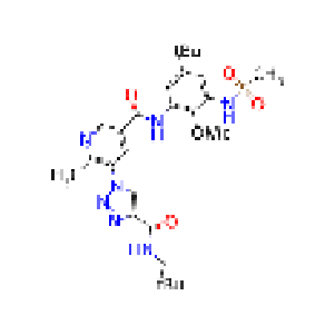 COc1c(NC(=O)c2cnc(C)c(-n3cc(C(=O)NCC(C)(C)C)nn3)c2)cc(C(C)(C)C)cc1NS(C)(=O)=O